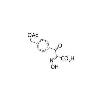 CC(=O)OCc1ccc(C(=O)C(=NO)C(=O)O)cc1